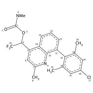 CNC(=O)OC(c1cc(C)nc2c(-c3c(C)cc(Cl)cc3C)cccc12)C(F)(F)F